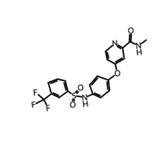 CNC(=O)c1cc(Oc2ccc(NS(=O)(=O)c3cccc(C(F)(F)F)c3)cc2)ccn1